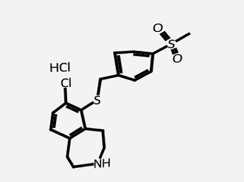 CS(=O)(=O)c1ccc(CSc2c(Cl)ccc3c2CCNCC3)cc1.Cl